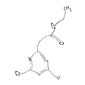 CCOC(=O)Cc1cc(Cl)cc(Cl)n1